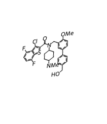 CNC1CCC(N(Cc2cc(-c3ccc(CO)cc3)ccc2OC)C(=O)c2sc3c(F)ccc(F)c3c2Cl)CC1